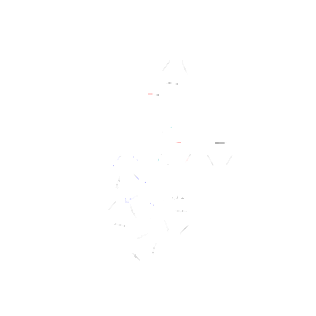 CCOc1nc(N(OC)C(c2ccccc2)(c2ccccc2)c2ccccc2)nc2c1ncn2[C@@H]1O[C@](F)(COC(=O)c2ccccc2)[C@@H](OC(=O)c2ccccc2)C1(C)F